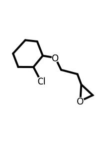 ClC1CCCCC1OCCC1CO1